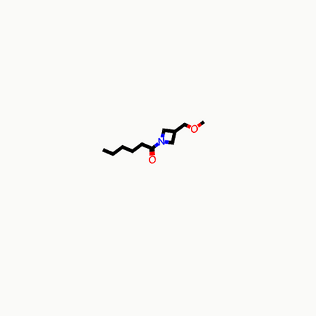 CCCCCC(=O)N1CC(COC)C1